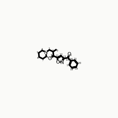 CC(CN1CCCCC1)C(=O)c1cc(C(=O)c2ccccc2)no1